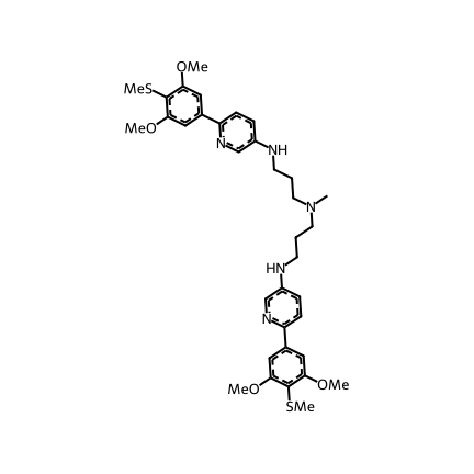 COc1cc(-c2ccc(NCCCN(C)CCCNc3ccc(-c4cc(OC)c(SC)c(OC)c4)nc3)cn2)cc(OC)c1SC